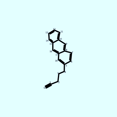 [C]#CCCCc1ccc2cc3ccccc3cc2c1